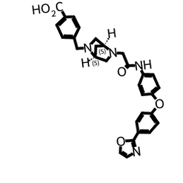 O=C(CN1C[C@@H]2C[C@H]1CN2Cc1ccc(C(=O)O)cc1)Nc1ccc(Oc2ccc(-c3ncco3)cc2)cc1